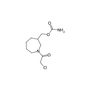 NC(=O)OCC1CCCCN(C(=O)CCl)C1